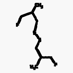 CC(CF)CSSCC(C)CF